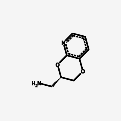 NC[C@H]1COc2cccnc2O1